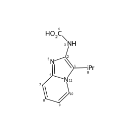 CC(C)c1c(NC(=O)O)nc2ccccn12